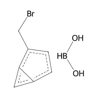 BrCc1ccc2cc1-2.OBO